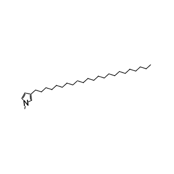 CCCCCCCCCCCCCCCCCCCCCCCc1ccn(C)c1